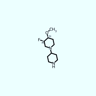 CO[C@H]1CCN(C2CCNCC2)C[C@H]1F